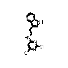 Clc1cc(NCCc2c[nH]c3ccccc23)nc(Cl)n1